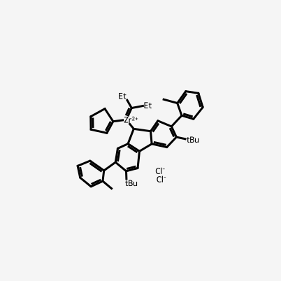 CC[C](CC)=[Zr+2]([C]1=CC=CC1)[CH]1c2cc(-c3ccccc3C)c(C(C)(C)C)cc2-c2cc(C(C)(C)C)c(-c3ccccc3C)cc21.[Cl-].[Cl-]